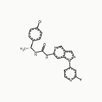 C[C@@H](NC(=O)Nc1cc2c(cn1)cnn2-c1ccnc(F)c1)c1ccc(Cl)cc1